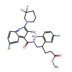 Cc1ccc(F)cc1C(CCC(=O)OC(C)(C)C)CNC(=O)c1c(C)c(N2CCCC(F)(F)C2)nc2ccc(Br)cc12